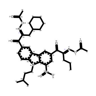 CCC/C(=N\OC(C)=O)C(=O)c1cc([N+](=O)[O-])c2c(c1)c1cc(C(=O)/C(CC3CCCCC3)=N/OC(C)=O)ccc1n2CCC(C)C